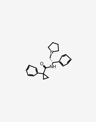 O=C(N[C@H](CN1CCCC1)c1ccccc1)C1(c2cc[c]cc2)CC1